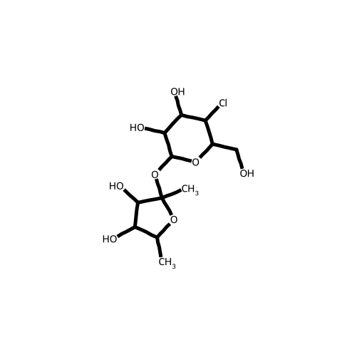 CC1OC(C)(OC2OC(CO)C(Cl)C(O)C2O)C(O)C1O